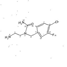 NCCN(Cc1ccc(Cl)c(F)c1)C(N)=O